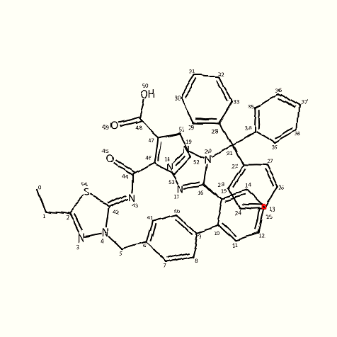 CCc1nn(Cc2ccc(-c3ccccc3-c3nnnn3C(c3ccccc3)(c3ccccc3)c3ccccc3)cc2)c(=NC(=O)C2=C(C(=O)O)CCC2)s1